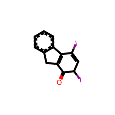 O=C1C2=C(C(I)=CC1I)c1ccccc1C2